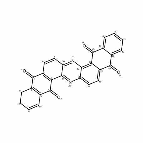 O=c1c2c(c(=O)c3c1ccc1nc4c(ccc5c(=O)c6ccccc6c(=O)c54)nc13)C=CCC2